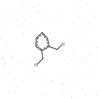 ClCc1[c]cccc1CCl